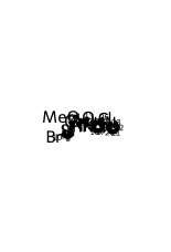 COC[C@@H](NC(=O)c1ccc(Br)s1)C(=O)Nc1ccc(N2CCCCN2)c(Cl)c1